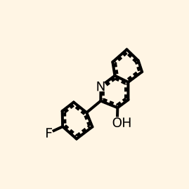 Oc1cc2ccccc2nc1-c1ccc(F)cc1